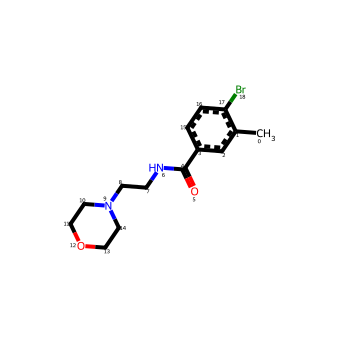 Cc1cc(C(=O)NCCN2CCOCC2)ccc1Br